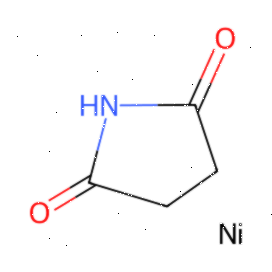 O=C1CCC(=O)N1.[Ni]